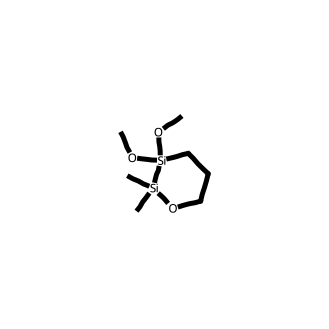 CO[Si]1(OC)CCCO[Si]1(C)C